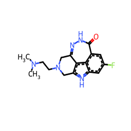 CN(C)CCN1CC2=NNC(=O)c3cc(F)cc4[nH]c(c2c34)C1